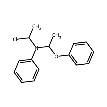 CC(Cl)N(c1ccccc1)C(C)Oc1ccccc1